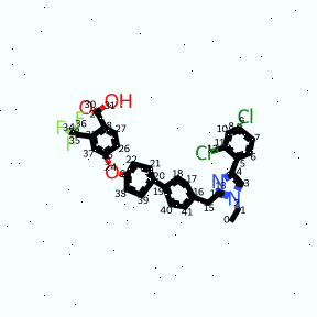 CCn1cc(-c2ccc(Cl)cc2Cl)nc1Cc1ccc(-c2ccc(Oc3ccc(C(=O)O)c(C(F)(F)F)c3)cc2)cc1